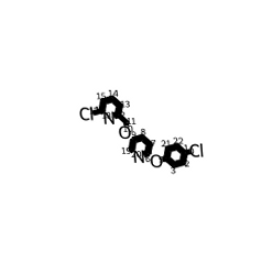 Clc1ccc(Oc2ccc(OCc3cccc(Cl)n3)cn2)cc1